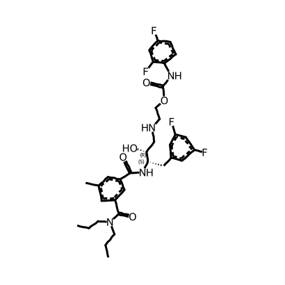 CCCN(CCC)C(=O)c1cc(C)cc(C(=O)N[C@@H](Cc2cc(F)cc(F)c2)[C@H](O)CNCCOC(=O)Nc2ccc(F)cc2F)c1